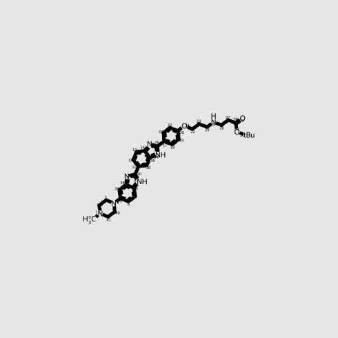 CN1CCN(c2ccc3[nH]c(-c4ccc5nc(-c6ccc(OCCCNCCC(=O)OC(C)(C)C)cc6)[nH]c5c4)nc3c2)CC1